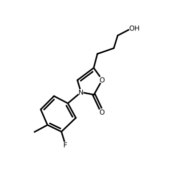 Cc1ccc(-n2cc(CCCO)oc2=O)cc1F